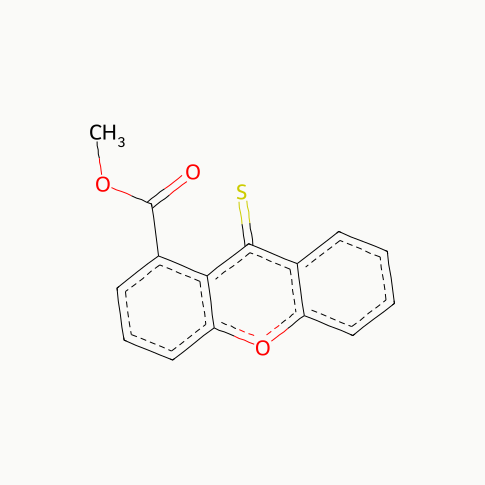 COC(=O)c1cccc2oc3ccccc3c(=S)c12